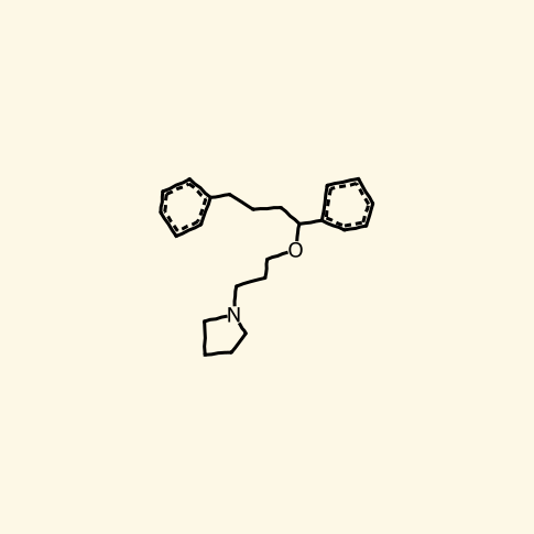 c1ccc(CCCC(OCCCN2CCCC2)c2ccccc2)cc1